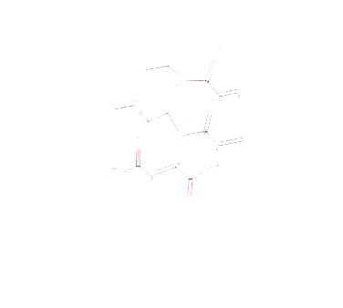 C=CC(=O)OCC.C=CC(=O)OCCCC.O=C(O)C=CC(=O)O